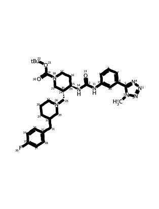 Cn1nnnc1-c1cccc(NC(=O)N[C@@H]2CCN(C(=O)OC(C)(C)C)C[C@H]2CN2CCCC(Cc3ccc(F)cc3)C2)c1